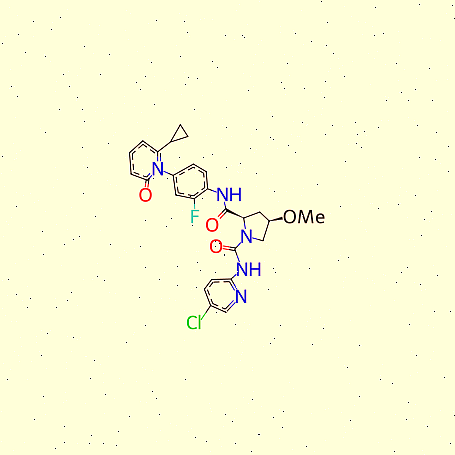 CO[C@@H]1C[C@H](C(=O)Nc2ccc(-n3c(C4CC4)cccc3=O)cc2F)N(C(=O)Nc2ccc(Cl)cn2)C1